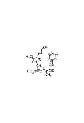 C=C(C)C(=O)OCCO.C=C(CC=C(C)C(=O)O)C(=O)OCc1ccccc1